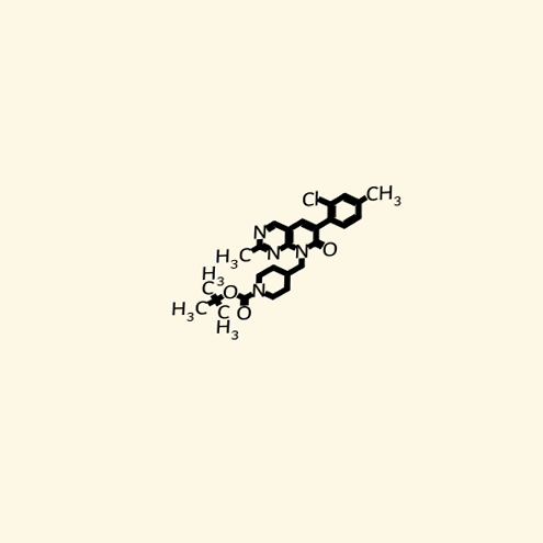 Cc1ccc(-c2cc3cnc(C)nc3n(CC3CCN(C(=O)OC(C)(C)C)CC3)c2=O)c(Cl)c1